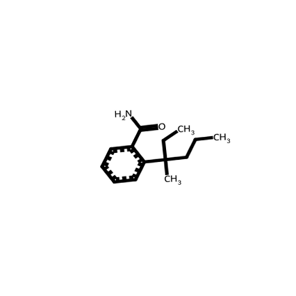 CCCC(C)(CC)c1ccccc1C(N)=O